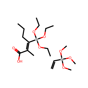 C=C[Si](OC)(OC)OC.CCCC(=C(C)C(=O)O)[Si](OCC)(OCC)OCC